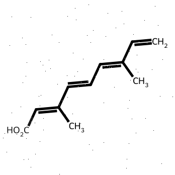 C=C/C(C)=C/C=C/C(C)=C/C(=O)O